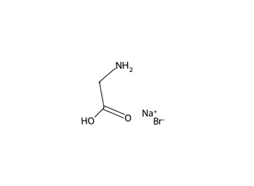 NCC(=O)O.[Br-].[Na+]